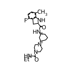 CCNC(=O)N1CCN([C@H]2CCC[C@@H](NC(=O)C3Cc4c(F)ccc(C)c4N3)C2)CC1